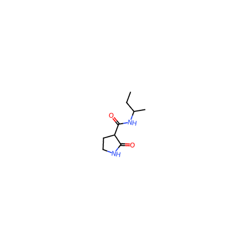 CCC(C)NC(=O)C1CCNC1=O